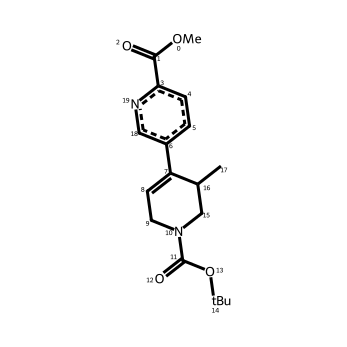 COC(=O)c1ccc(C2=CCN(C(=O)OC(C)(C)C)CC2C)cn1